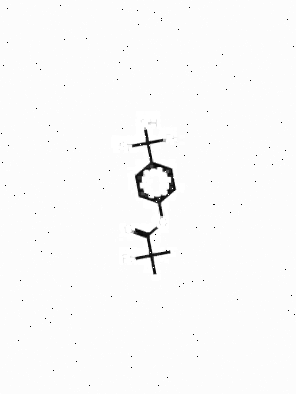 CCC(C)(C)C(=O)Oc1ccc(C(O)(CC)CC)cc1